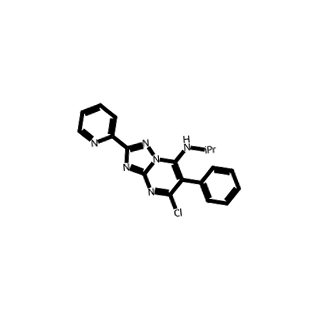 CC(C)Nc1c(-c2ccccc2)c(Cl)nc2nc(-c3ccccn3)nn12